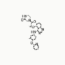 Cc1cc(Nc2ncnc3cccc(O[C@H](C)C(=O)N4CCNC(=O)C4)c23)ccc1Oc1ccccn1